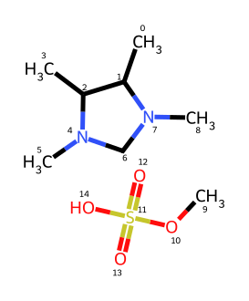 CC1C(C)N(C)CN1C.COS(=O)(=O)O